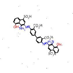 Nc1c(/N=N/c2ccc(-c3ccc(/N=N/c4cc(S(=O)(=O)O)c5cccc(O)c5c4N)c(C(=O)O)c3)cc2C(=O)O)cc(S(=O)(=O)O)c2cccc(O)c12